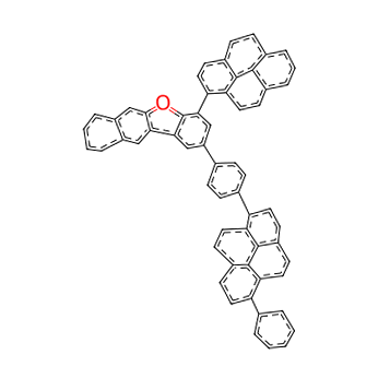 c1ccc(-c2ccc3ccc4c(-c5ccc(-c6cc(-c7ccc8ccc9cccc%10ccc7c8c9%10)c7oc8cc9ccccc9cc8c7c6)cc5)ccc5ccc2c3c54)cc1